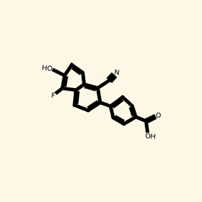 N#Cc1c(-c2ccc(C(=O)O)cc2)ccc2c(F)c(O)ccc12